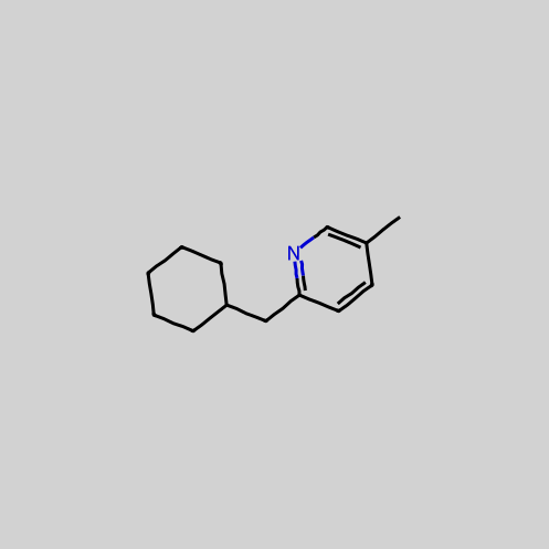 Cc1ccc(CC2CCCCC2)nc1